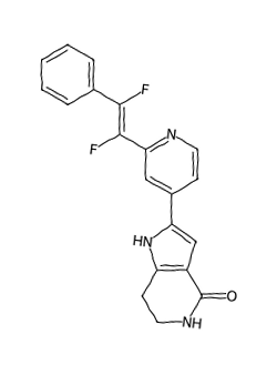 O=C1NCCc2[nH]c(-c3ccnc(C(F)=C(F)c4ccccc4)c3)cc21